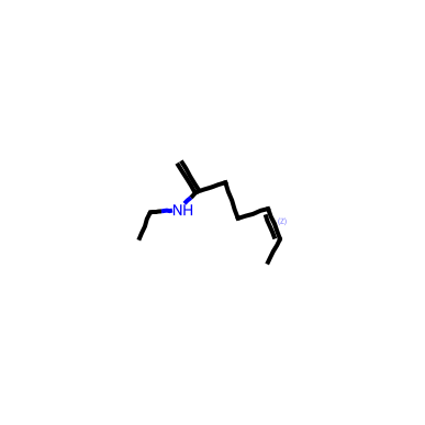 C=C(CC/C=C\C)NCC